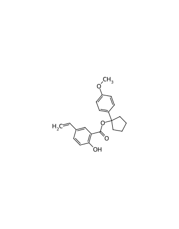 C=Cc1ccc(O)c(C(=O)OC2(c3ccc(OC)cc3)CCCC2)c1